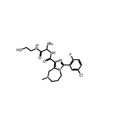 CN1CCCn2c(-c3cc(Cl)ccc3F)nc(C(=O)NC(C(=O)NCCO)C(C)(C)C)c2C1